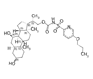 CCCOc1ccc(S(=O)(=O)NC(=O)OC[C@@H](C)[C@H]2CC[C@H]3[C@@H]4[C@H](O)C[C@@H]5C[C@H](O)CC[C@]5(C)[C@H]4CC[C@]23C)nc1